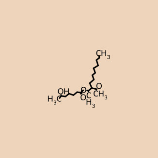 CCCCCCCCCC(C(C)=O)C(C)OC(=O)CCCCC(C)O